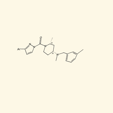 CC(=O)c1ccn(C(=O)N2CC[C@@H](N(C)Cc3cccc(C)c3)C[C@H]2C)n1